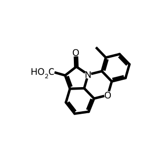 Cc1cccc2c1N1C(=O)C(C(=O)O)=C3C=CC=C(O2)C31